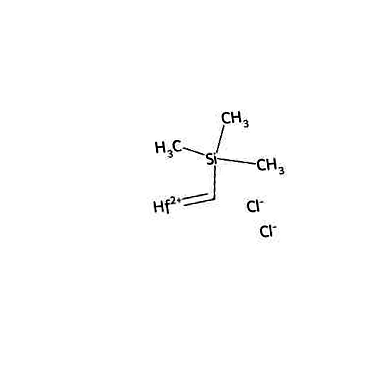 C[Si](C)(C)[CH]=[Hf+2].[Cl-].[Cl-]